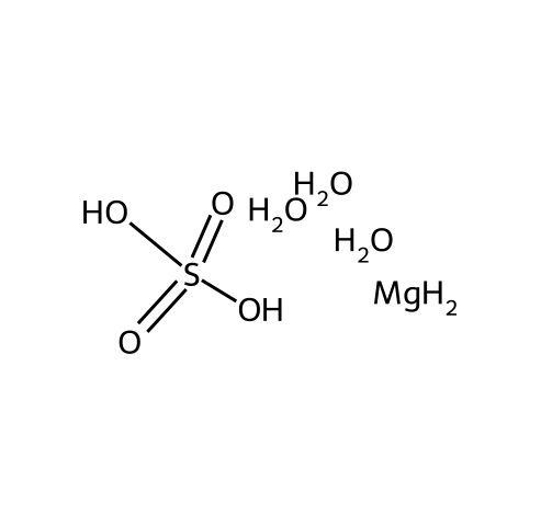 O.O.O.O=S(=O)(O)O.[MgH2]